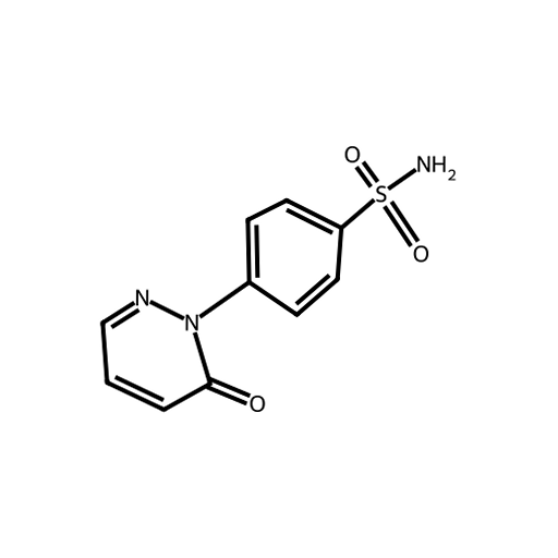 NS(=O)(=O)c1ccc(-n2ncccc2=O)cc1